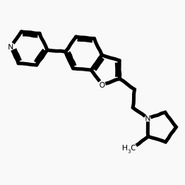 CC1CCCN1CCc1cc2ccc(-c3ccncc3)cc2o1